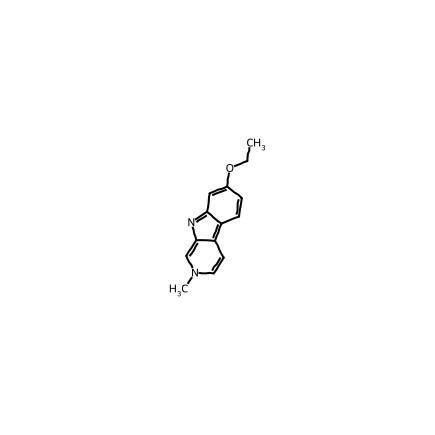 CCOc1ccc2c3ccn(C)cc-3nc2c1